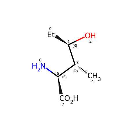 CC[C@@H](O)[C@H](C)[C@H](N)C(=O)O